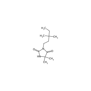 CCC(C)(C)CCN1C(=O)NC(C)(C)C1=O